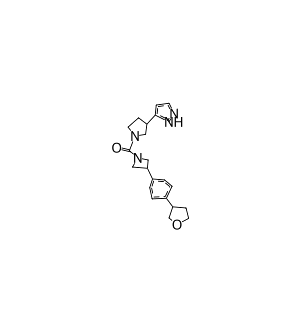 O=C(N1CC(c2ccc(C3CCOC3)cc2)C1)N1CCC(c2ccn[nH]2)C1